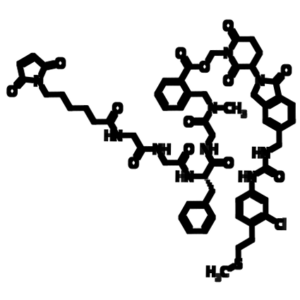 CSCCc1ccc(NC(=O)NCc2ccc3c(c2)CN(C2CCC(=O)N(COC(=O)c4ccccc4CN(C)C(=O)CNC(=O)[C@H](Cc4ccccc4)NC(=O)CNC(=O)CNC(=O)CCCCCN4C(=O)C=CC4=O)C2=O)C3=O)cc1Cl